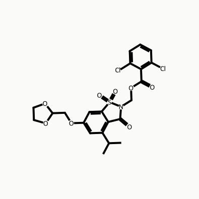 CC(C)c1cc(OCC2OCCO2)cc2c1C(=O)N(COC(=O)c1c(Cl)cccc1Cl)S2(=O)=O